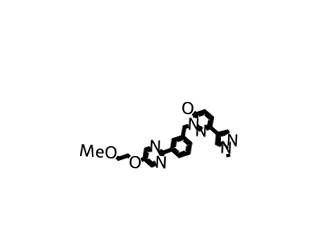 COCCOc1cnc(-c2cccc(Cn3nc(-c4cnn(C)c4)ccc3=O)c2)nc1